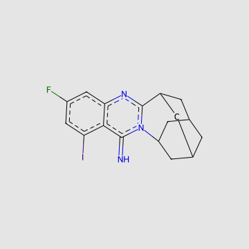 N=c1c2c(I)cc(F)cc2nc2n1C1CC3CC(CC2C3)C1